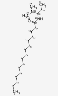 CCCCCCCCCCCCCCCC(=O)NC(CC)N(C)C